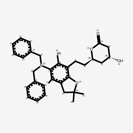 Cc1c2c(c(CC[C@@H]3C[C@@H](O)CC(=O)O3)c(C(C)C)c1N(Cc1ccccc1)Cc1ccccc1)OC(C)(C)C2